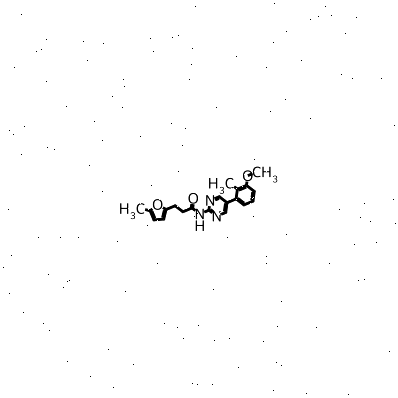 COc1cccc(-c2cnc(NC(=O)CCc3ccc(C)o3)nc2)c1C